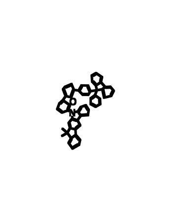 CC1(C)c2ccccc2-c2cc3c4ccccc4n(-c4cccc5c4oc4c(-c6ccc(C7(c8ccccc8)c8ccccc8-c8ccccc87)cc6)cccc45)c3cc21